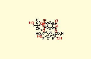 CC(C)(CO)CO.O=C(O)CCCCC(=O)O.O=c1oc(=O)c2cc3c(=O)oc(=O)c3cc12.OCCCCCCO